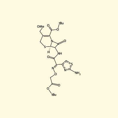 COCC1=C(C(=O)OC(C)(C)C)N2C(=O)C(NC(=O)/C(=N/OCC(=O)OC(C)(C)C)c3csc(N)n3)[C@H]2SC1